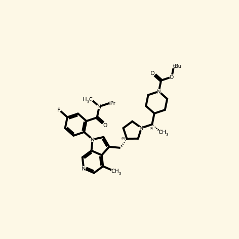 Cc1cncc2c1c(C[C@@H]1CCN([C@@H](C)C3CCN(C(=O)OC(C)(C)C)CC3)C1)cn2-c1ccc(F)cc1C(=O)N(C)C(C)C